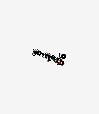 CC(C)N(CC(=O)OCc1ccc([N+](=O)[O-])cc1)C(=O)c1csc(N2CC(C(C)(C)C)C2O[SiH](c2ccccc2)c2ccccc2)n1